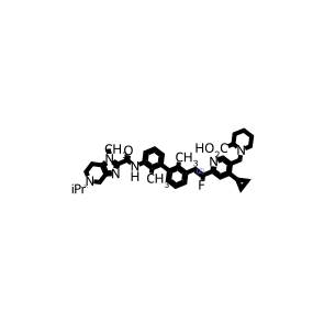 Cc1c(/C=C(\F)c2cc(C3CC3)c(CN3CCCCC3C(=O)O)cn2)cccc1-c1cccc(NC(=O)c2nc3c(n2C)CCN(C(C)C)C3)c1C